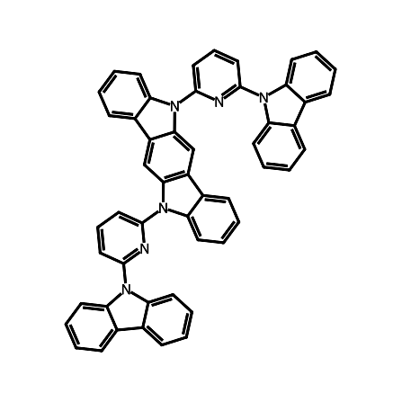 c1cc(-n2c3ccccc3c3ccccc32)nc(-n2c3ccccc3c3cc4c(cc32)c2ccccc2n4-c2cccc(-n3c4ccccc4c4ccccc43)n2)c1